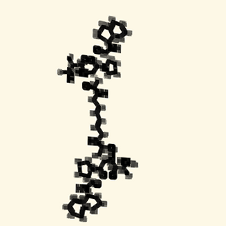 CN[C@@H](C)C(=O)N[C@@H](CC(=O)NCC=CC=CCNC(=O)C[C@H](NC(=O)[C@H](C)NC)C(=O)N1CCC[C@H]1C(=O)N[C@@H]1CCCc2ccccc21)C(=O)N1CCC[C@H]1C(=O)N[C@@H]1CCCc2ccccc21